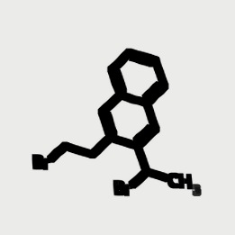 CC(Br)c1cc2ccccc2cc1CCBr